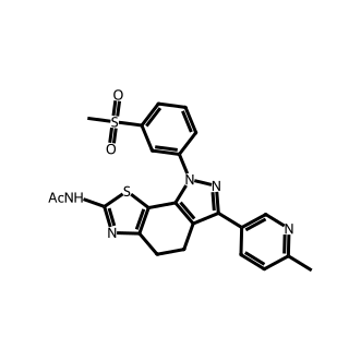 CC(=O)Nc1nc2c(s1)-c1c(c(-c3ccc(C)nc3)nn1-c1cccc(S(C)(=O)=O)c1)CC2